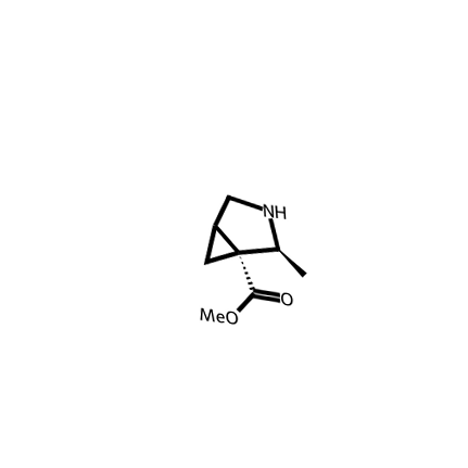 COC(=O)[C@]12CC1CN[C@H]2C